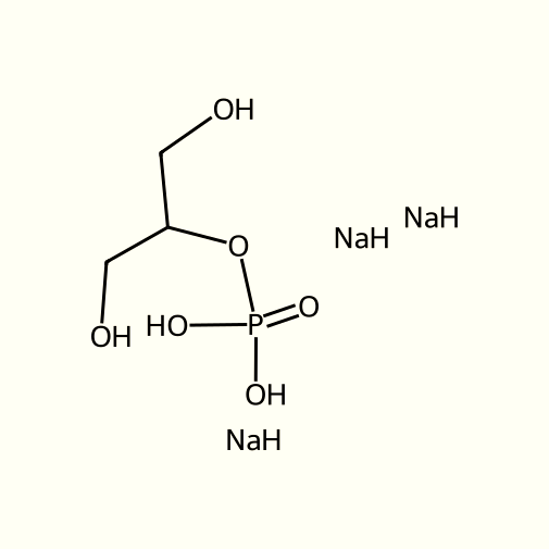 O=P(O)(O)OC(CO)CO.[NaH].[NaH].[NaH]